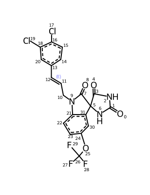 O=C1NC(=O)C2(N1)C(=O)N(C/C=C/c1ccc(Cl)c(Cl)c1)c1ccc(OC(F)(F)F)cc12